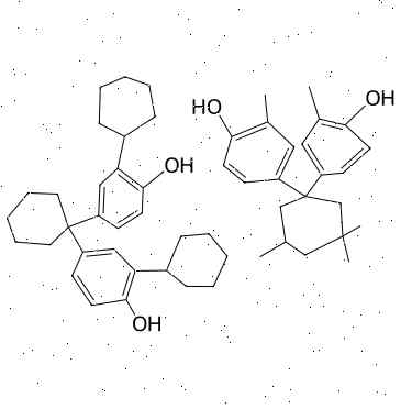 Cc1cc(C2(c3ccc(O)c(C)c3)CC(C)CC(C)(C)C2)ccc1O.Oc1ccc(C2(c3ccc(O)c(C4CCCCC4)c3)CCCCC2)cc1C1CCCCC1